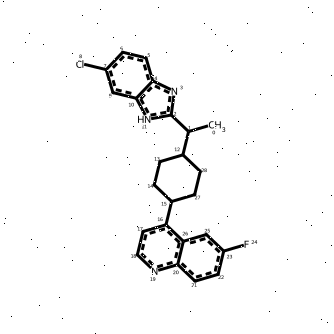 CC(c1nc2ccc(Cl)cc2[nH]1)C1CCC(c2ccnc3ccc(F)cc23)CC1